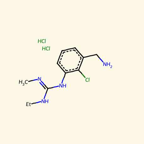 CCNC(=NC)Nc1cccc(CN)c1Cl.Cl.Cl